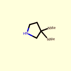 CNC1(NC)CCNC1